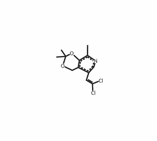 Cc1ncc(C=C(Cl)Cl)c2c1OC(C)(C)OC2